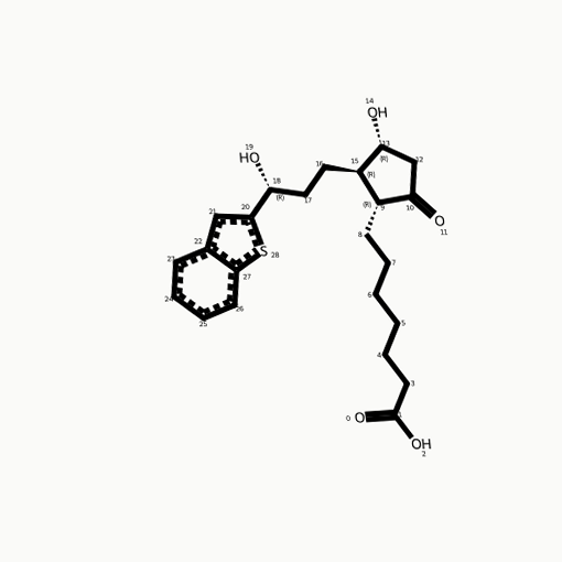 O=C(O)CCCCCC[C@H]1C(=O)C[C@@H](O)[C@@H]1CC[C@@H](O)c1cc2ccccc2s1